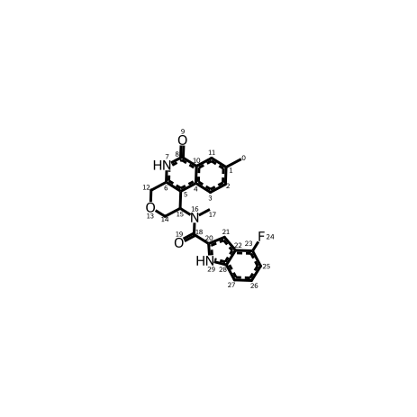 Cc1ccc2c3c([nH]c(=O)c2c1)COCC3N(C)C(=O)c1cc2c(F)cccc2[nH]1